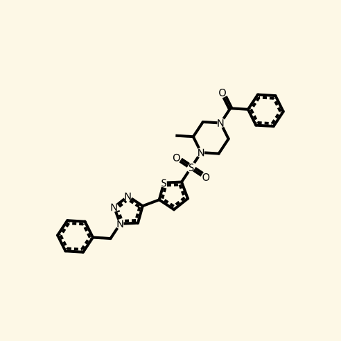 CC1CN(C(=O)c2ccccc2)CCN1S(=O)(=O)c1ccc(-c2cn(Cc3ccccc3)nn2)s1